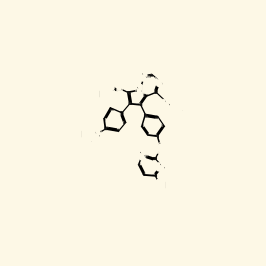 COc1c(-c2ccc(N)cc2)c(-c2ccc(Oc3nccc(C)n3)cc2)c2c(N)ncnn12